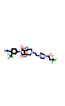 C[C@]12CN(CCN3CCN(C(=O)CC(F)(F)F)CC3)C[C@@H](O1)[C@H]1C(=O)N(c3ccc(C#N)c(C(F)(F)F)c3)C(=O)[C@H]12